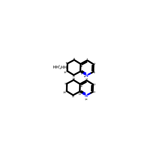 [HH].[HH].c1cnc2c(c1)CCCC2.c1cnc2c(c1)CCCC2